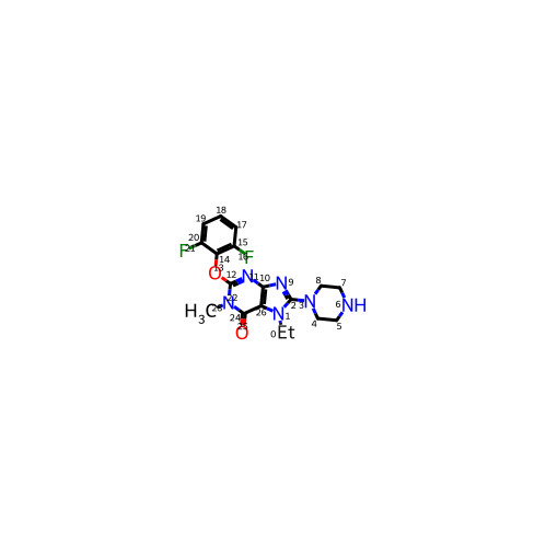 CCn1c(N2CCNCC2)nc2nc(Oc3c(F)cccc3F)n(C)c(=O)c21